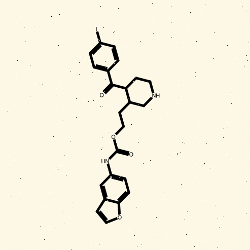 O=C(Nc1ccc2occc2c1)OCCC1CNCCC1C(=O)c1ccc(I)cc1